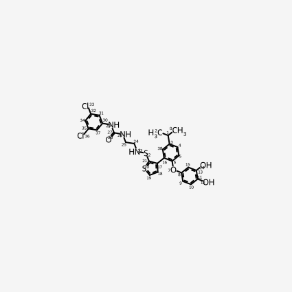 CC(C)c1ccc(Oc2ccc(O)c(O)c2)c(-c2ccsc2SNCCNC(=O)Nc2cc(Cl)cc(Cl)c2)c1